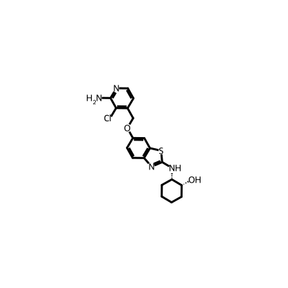 Nc1nccc(COc2ccc3nc(N[C@H]4CCCC[C@H]4O)sc3c2)c1Cl